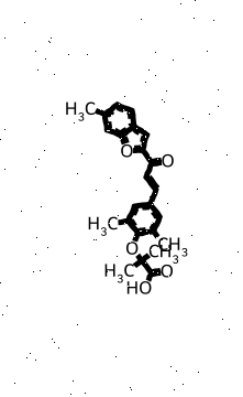 Cc1ccc2cc(C(=O)C=Cc3cc(C)c(OC(C)(C)C(=O)O)c(C)c3)oc2c1